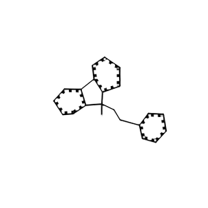 PC1(CCc2ccccc2)c2ccccc2-c2ccccc21